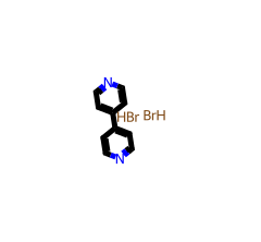 Br.Br.c1cc(-c2ccncc2)ccn1